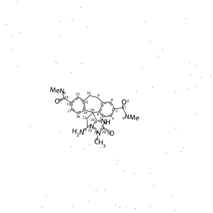 CNC(=O)c1ccc2c(c1)CCc1cc(C(=O)NC)ccc1C2(CCN)c1nn(C)c(=O)[nH]1